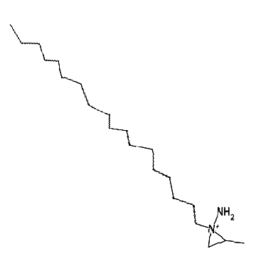 CCCCCCCCCCCCCCCCCC[N+]1(N)CC1C